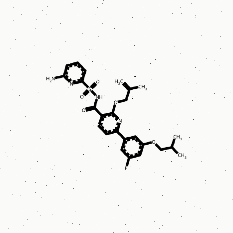 C=C(C)COc1nc(-c2cc(F)cc(OCC(C)C)c2)ccc1C(=O)NS(=O)(=O)c1cccc(N)n1